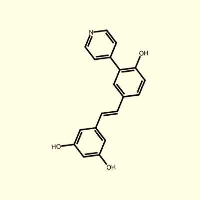 Oc1cc(O)cc(/C=C/c2ccc(O)c(-c3ccncc3)c2)c1